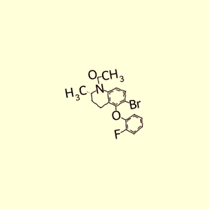 CC(=O)N1c2ccc(Br)c(Oc3ccccc3F)c2CC[C@@H]1C